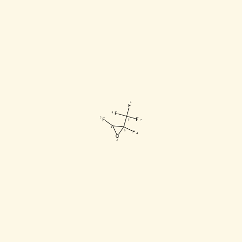 FC1OC1(F)C(F)(F)F